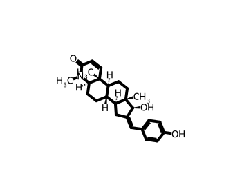 CN1C(=O)C=C[C@]2(C)[C@H]3CC[C@]4(C)[C@@H](O)/C(=C\c5ccc(O)cc5)C[C@H]4[C@@H]3CC[C@@H]12